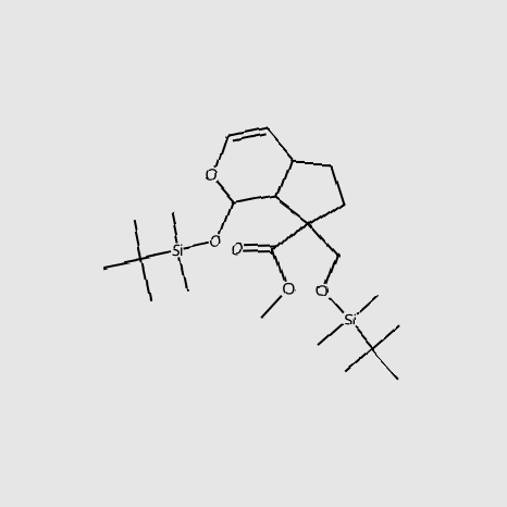 COC(=O)C1(CO[Si](C)(C)C(C)(C)C)CCC2C=COC(O[Si](C)(C)C(C)(C)C)C21